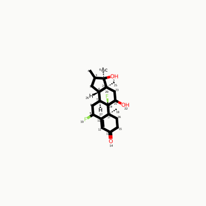 CC(=O)[C@@]1(O)C(C)C[C@H]2[C@@H]3CC(F)C4=CC(=O)CC[C@]4(C)[C@@]3(F)C(O)C[C@@]21C